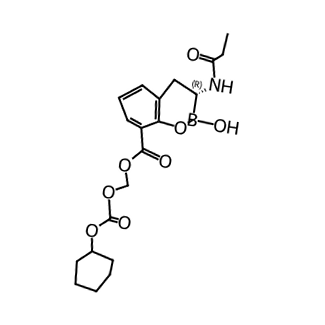 CCC(=O)N[C@H]1Cc2cccc(C(=O)OCOC(=O)OC3CCCCC3)c2OB1O